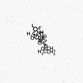 COc1cc(=O)n(C)c(Nc2ccc(I)cc2F)c1NS(=O)(=O)C1CC1COC(=O)C(C)(C)C